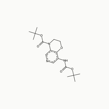 CC(C)(C)OC(=O)Nc1cncc2c1OCCN2C(=O)OC(C)(C)C